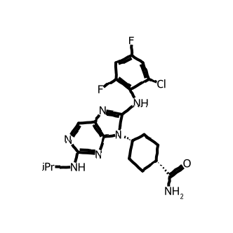 CC(C)Nc1ncc2nc(Nc3c(F)cc(F)cc3Cl)n([C@H]3CC[C@@H](C(N)=O)CC3)c2n1